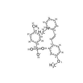 COc1ccc(C=Cc2cccc[n+]2C)cc1.Cc1ccc(S(=O)(=O)[O-])cc1